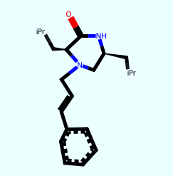 CC(C)C[C@H]1CN(CC=Cc2ccccc2)[C@@H](CC(C)C)C(=O)N1